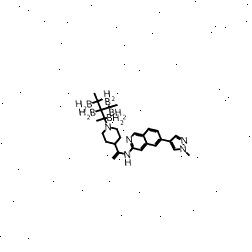 BC(B)(C)C(B)(C(B)(C)C)C(B)(C)N1CCC(C(=C)Nc2cc3cc(-c4cnn(C)c4)ccc3cn2)CC1